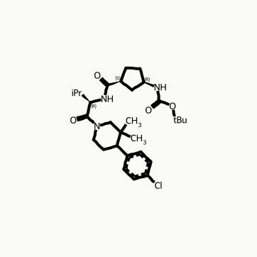 CC(C)[C@@H](NC(=O)[C@H]1CC[C@@H](NC(=O)OC(C)(C)C)C1)C(=O)N1CCC(c2ccc(Cl)cc2)C(C)(C)C1